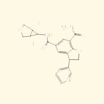 CNC(=O)c1cc(C(=O)NC2[C@H]3COC[C@@H]23)cc2c1OCC2c1cccnc1